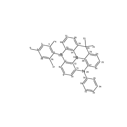 Cc1cc(C)c(B2c3cccc4c3B3c5c2cccc5C(C)(C)c2cccc(c23)N4c2ccccc2)c(C)c1